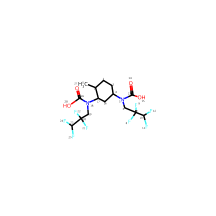 CC1CCC(N(CC(F)(F)C(F)F)C(=O)O)CC1N(CC(F)(F)C(F)F)C(=O)O